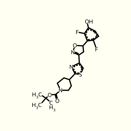 CC(C)(C)OC(=O)N1CCC(c2nc(C3=NOC(c4c(F)ccc(O)c4F)C3)cs2)CC1